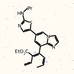 C=C/C(C(=O)OCC)=C(\C=C/C)c1cc(-c2cnc(NC(C)C)s2)cn2ccnc12